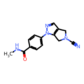 CNC(=O)c1ccc(-n2ncc3c2CN(C#N)C3)cc1